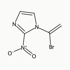 C=C(Br)n1ccnc1[N+](=O)[O-]